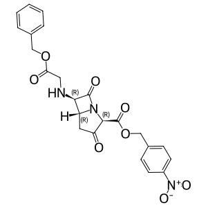 O=C(CN[C@H]1C(=O)N2[C@@H](C(=O)OCc3ccc([N+](=O)[O-])cc3)C(=O)C[C@H]12)OCc1ccccc1